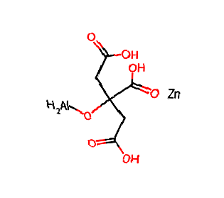 O=C(O)CC(CC(=O)O)([O][AlH2])C(=O)O.[Zn]